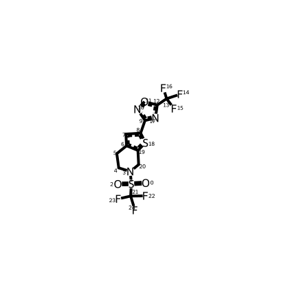 O=S(=O)(N1CCc2cc(-c3noc(C(F)(F)F)n3)sc2C1)C(F)(F)F